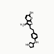 Nc1c(CCc2ccc(NC3CCNC3)cc2)sc2nc(S)ccc12